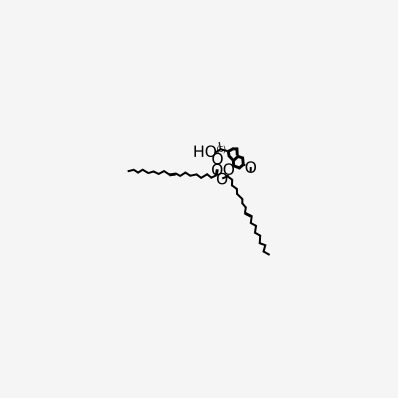 CCCCCCCCC=CCCCCCCCC(=O)OC(=O)CCCCCCCC=CCCCCCCCC.COc1ccc2cc([C@H](C)C(=O)O)ccc2c1